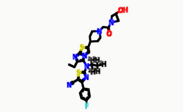 [2H]C([2H])([2H])C([2H])([2H])N(c1nc(-c2ccc(F)cc2)c(C#N)s1)c1c(CC)nc2sc(C3CCN(CC(=O)N4CC(O)C4)CC3)cn12